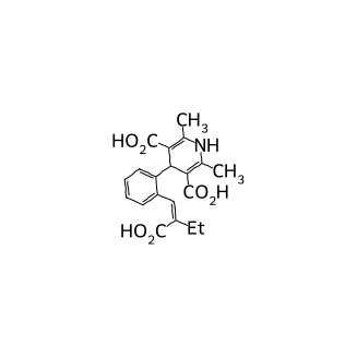 CCC(=Cc1ccccc1C1C(C(=O)O)=C(C)NC(C)=C1C(=O)O)C(=O)O